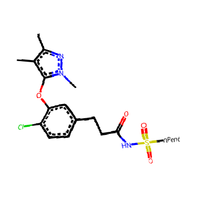 CCCCCS(=O)(=O)NC(=O)CCc1ccc(Cl)c(Oc2c(C)c(C)nn2C)c1